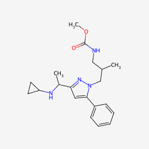 COC(=O)NCC(C)Cn1nc(C(C)NC2CC2)cc1-c1ccccc1